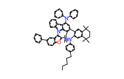 CCCCCc1ccc(Nc2cc3c(cc2-c2cc(N(c4ccccc4)c4ccccc4)c4c5ccccc5n5c4c2Bc2oc4ccc(-c6ccccc6)cc4c2-5)C(C)(C)CCC3(C)C)cc1